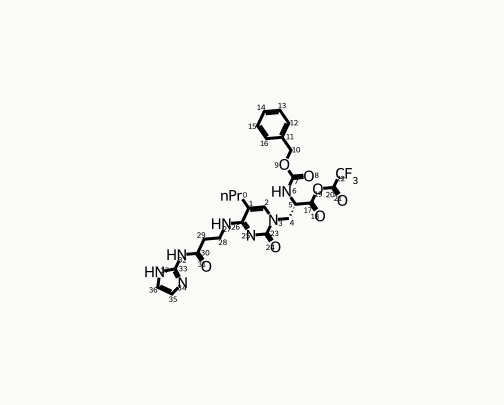 CCCc1cn(C[C@H](NC(=O)OCc2ccccc2)C(=O)OC(=O)C(F)(F)F)c(=O)nc1NCCC(=O)Nc1ncc[nH]1